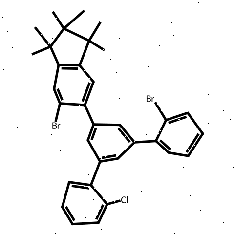 CC1(C)c2cc(Br)c(-c3cc(-c4ccccc4Cl)cc(-c4ccccc4Br)c3)cc2C(C)(C)C1(C)C